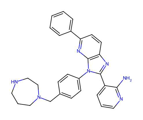 Nc1ncccc1-c1nc2ccc(-c3ccccc3)nc2n1-c1ccc(CN2CCCNCC2)cc1